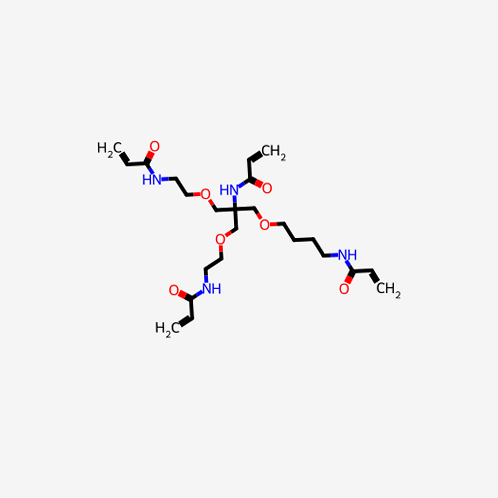 C=CC(=O)NCCCCOCC(COCCNC(=O)C=C)(COCCNC(=O)C=C)NC(=O)C=C